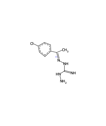 C/C(=N\NC(=N)NN)c1ccc(Cl)cc1